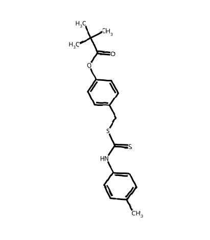 Cc1ccc(NC(=S)SCc2ccc(OC(=O)C(C)(C)C)cc2)cc1